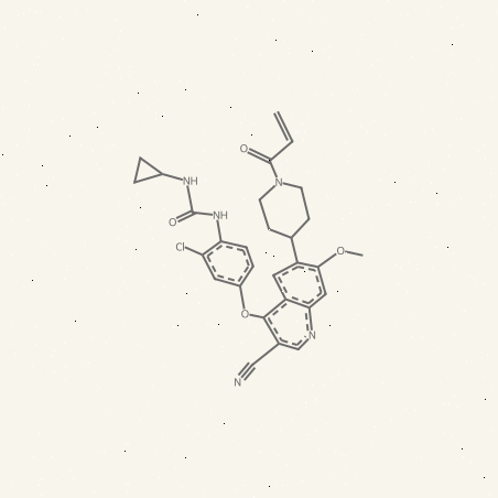 C=CC(=O)N1CCC(c2cc3c(Oc4ccc(NC(=O)NC5CC5)c(Cl)c4)c(C#N)cnc3cc2OC)CC1